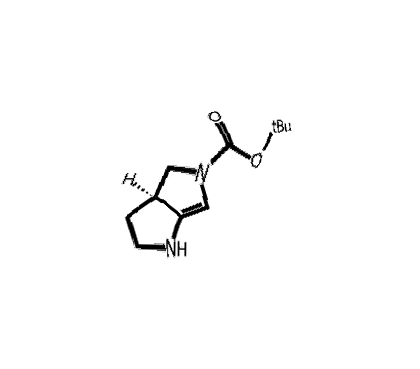 CC(C)(C)OC(=O)N1C=C2NCC[C@H]2C1